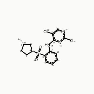 C[C@H]1CCN(S(=O)(=O)c2ccccc2Nc2nc(Cl)ncc2Cl)C1